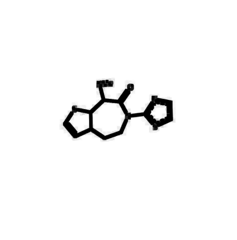 CNC1C(=O)N(c2nccs2)CCC2C=CSC21